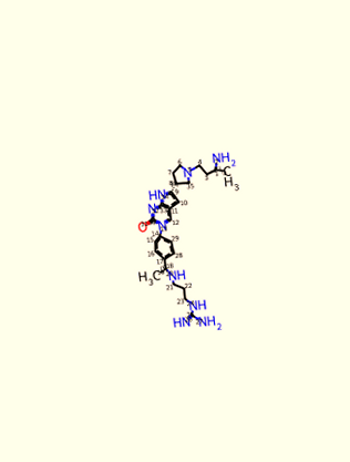 C[C@H](N)CCN1CC[C@@H](c2cc3cn(-c4ccc([C@H](C)NCCCNC(=N)N)cc4)c(=O)nc3[nH]2)C1